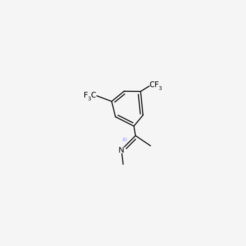 C/N=C(\C)c1cc(C(F)(F)F)cc(C(F)(F)F)c1